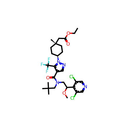 CCOC(=O)C[C@]1(C)CC[C@@H](n2ncc(C(=O)N(CC(OC)c3c(Cl)cncc3Cl)CC(C)(C)C)c2C(F)(F)F)CC1